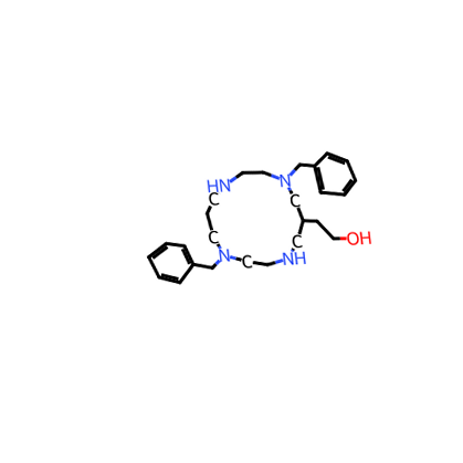 OCCC1CNCCN(Cc2ccccc2)CCCNCCN(Cc2ccccc2)C1